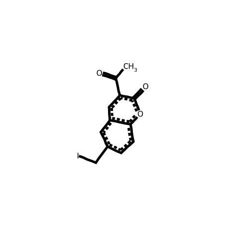 CC(=O)c1cc2cc(CI)ccc2oc1=O